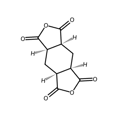 O=C1OC(=O)[C@@H]2C[C@@H]3C(=O)OC(=O)[C@@H]3C[C@H]12